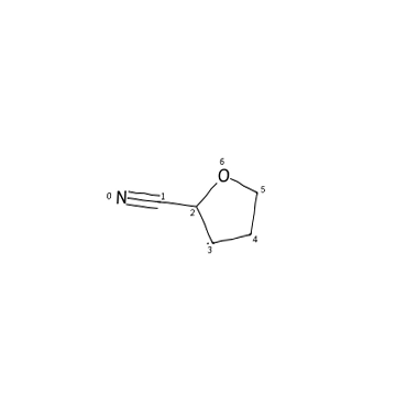 N#CC1[CH]CCO1